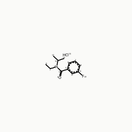 CCN(C(=O)c1cccc(F)c1)C(C)C.Cl